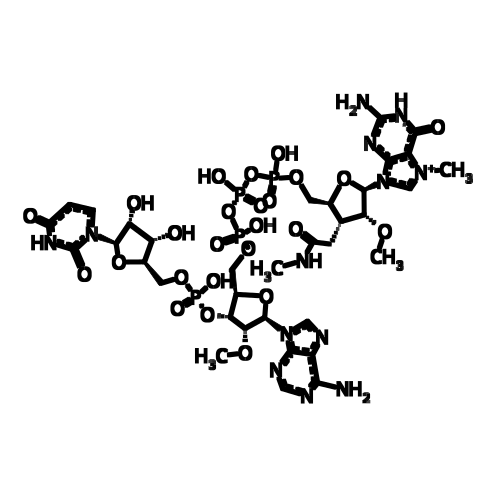 CNC(=O)C[C@H]1[C@@H](OC)[C@H](n2c[n+](C)c3c(=O)[nH]c(N)nc32)O[C@@H]1COP(=O)(O)OP(=O)(O)OP(=O)(O)OC[C@H]1O[C@@H](n2cnc3c(N)ncnc32)[C@H](OC)[C@@H]1OP(=O)(O)OC[C@H]1O[C@@H](n2ccc(=O)[nH]c2=O)[C@H](O)[C@@H]1O